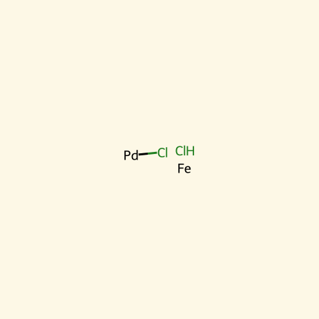 Cl.[Cl][Pd].[Fe]